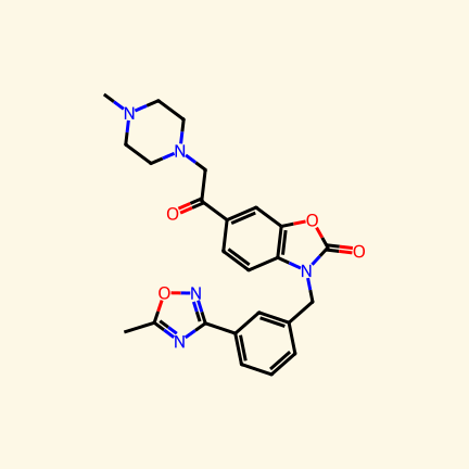 Cc1nc(-c2cccc(Cn3c(=O)oc4cc(C(=O)CN5CCN(C)CC5)ccc43)c2)no1